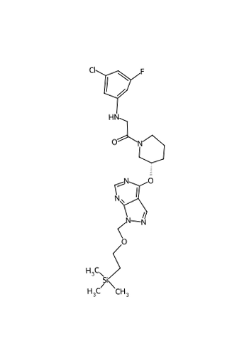 C[Si](C)(C)CCOCn1ncc2c(O[C@H]3CCCN(C(=O)CNc4cc(F)cc(Cl)c4)C3)ncnc21